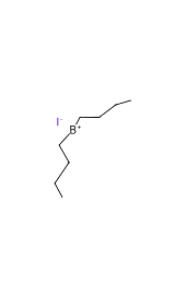 CCCC[B+]CCCC.[I-]